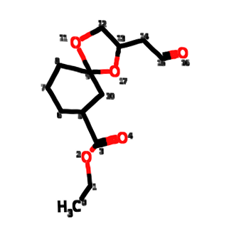 CCOC(=O)C1CCCC2(C1)OCC(CC=O)O2